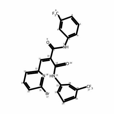 O=C(Nc1cccc(C(F)(F)F)c1)C(=Cc1cccc(Br)n1)C(=O)Nc1cccc(C(F)(F)F)c1